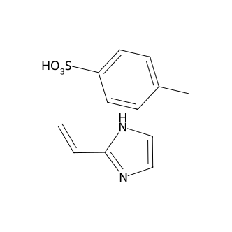 C=Cc1ncc[nH]1.Cc1ccc(S(=O)(=O)O)cc1